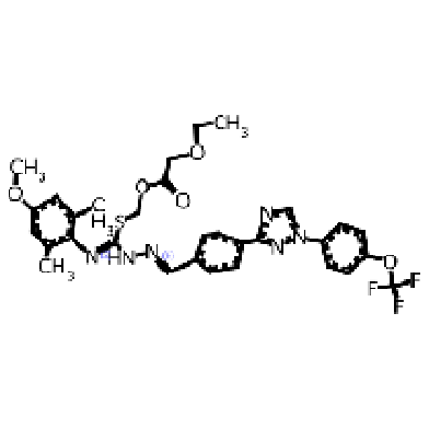 CCOCC(=O)OCS/C(=N\c1c(C)cc(OC)cc1C)N/N=C/c1ccc(-c2ncn(-c3ccc(OC(F)(F)F)cc3)n2)cc1